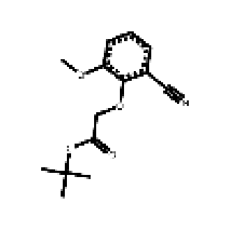 COc1cccc(C#N)c1OCC(=O)OC(C)(C)C